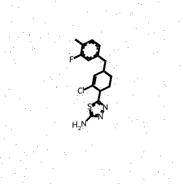 Cc1ccc(CC2C=C(Cl)C(c3nnc(N)s3)CC2)cc1F